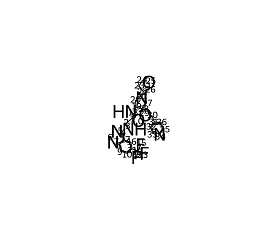 O=C(CNc1ncnc2ccc(C(F)(F)F)cc12)NC1CN(C2CCOC2)C[C@@H]1OCc1ccncc1